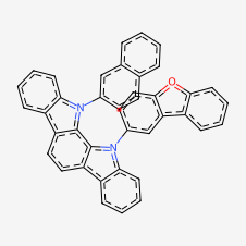 c1ccc2cc(-n3c4ccccc4c4ccc5c6ccccc6n(-c6ccc7oc8ccccc8c7c6)c5c43)ccc2c1